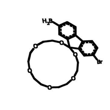 Bc1ccc2c(c1)C1(OCCOCCOCCOCCOCCO1)c1cc(Br)ccc1-2